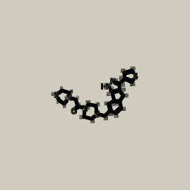 O=C(CN1CCSCC1)N1CCN(Cc2ccc3c(c2)-c2[nH]nc(-c4ccsc4)c2C3)CC1